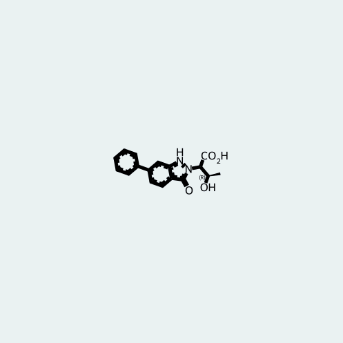 C[C@@H](O)C(C(=O)O)n1[nH]c2cc(-c3ccccc3)ccc2c1=O